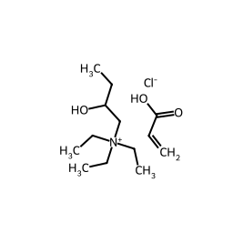 C=CC(=O)O.CCC(O)C[N+](CC)(CC)CC.[Cl-]